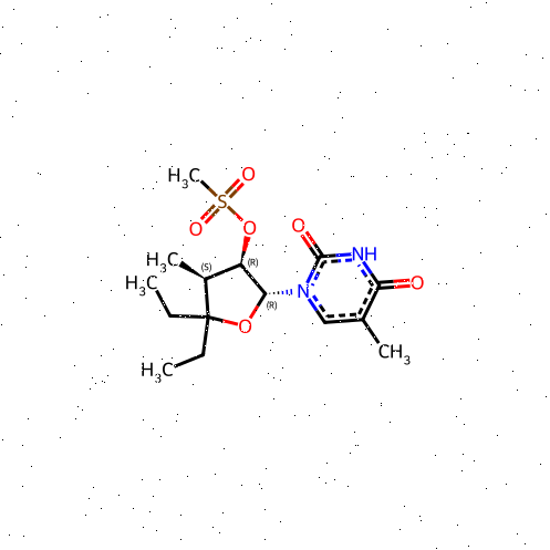 CCC1(CC)O[C@@H](n2cc(C)c(=O)[nH]c2=O)[C@H](OS(C)(=O)=O)[C@@H]1C